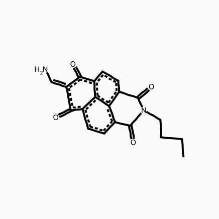 CCCCN1C(=O)c2ccc3c(=O)c(=CN)c(=O)c4ccc(c2c34)C1=O